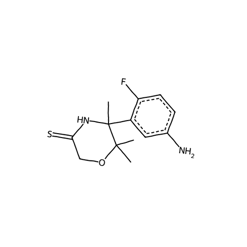 CC1(C)OCC(=S)NC1(C)c1cc(N)ccc1F